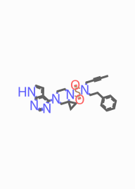 CC#CCN(CCc1ccccc1)S(=O)(=O)N1CCN(c2ncnc3[nH]ccc23)CC12CC2